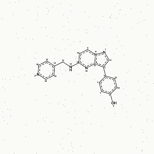 Oc1ccc(-c2cnn3ccc(NCc4ccncc4)nc23)cc1